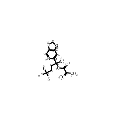 C=C(C)C(=O)OC(C)(CCC(F)(F)F)c1cc2c(cn1)OCO2